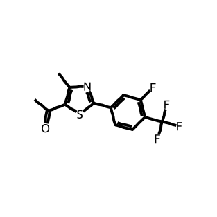 CC(=O)c1sc(-c2ccc(C(F)(F)F)c(F)c2)nc1C